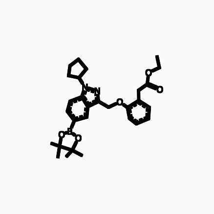 CCOC(=O)Cc1ccccc1OCc1nn(C2CCCC2)c2ccc(B3OC(C)(C)C(C)(C)O3)cc12